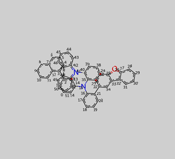 c1cc(-c2cccc3ccccc23)cc(N(c2ccccc2-c2ccc3oc4ccccc4c3c2)c2ccccc2-n2c3ccccc3c3ccccc32)c1